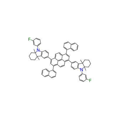 CC12CCCCC1(C)N(c1cccc(F)c1)c1ccc(-c3cc(-c4cccc5ccccc45)c4ccc5c(-c6ccc7c(c6)C6(C)CCCCC6(C)N7c6cccc(F)c6)cc(-c6cccc7ccccc67)c6ccc3c4c56)cc12